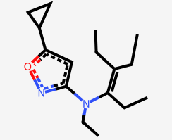 CCC(CC)=C(CC)N(CC)c1cc(C2CC2)on1